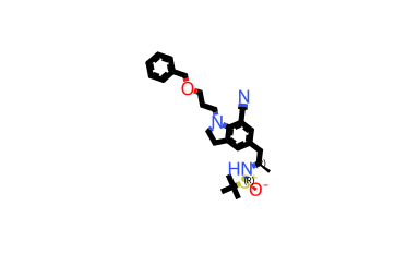 C[C@H](Cc1cc(C#N)c2c(c1)CCN2CCCOCc1ccccc1)N[S@@+]([O-])C(C)(C)C